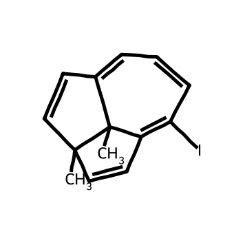 CC12C=CC3=CC=CC(I)=C(C=C1)C32C